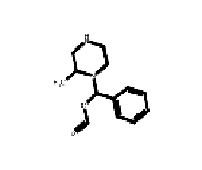 CC1CNCCN1C(OC=O)c1ccccc1